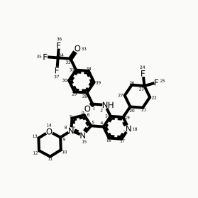 O=C(Nc1c(-c2ccn(C3CCCCO3)n2)ccnc1C1CCC(F)(F)CC1)c1ccc(C(=O)C(F)(F)F)cc1